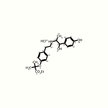 CCOC(=O)C(C)(C)Oc1ccc(CCNC(C)C(O)c2ccc(O)cc2)cc1.Cl